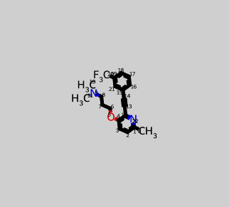 Cc1ccc(OCCCN(C)C)c(C#Cc2cccc(C(F)(F)F)c2)n1